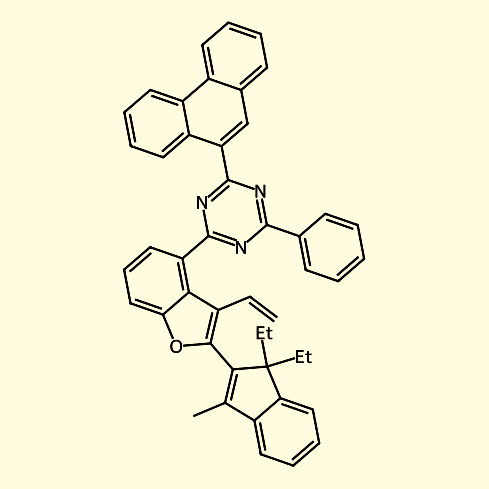 C=Cc1c(C2=C(C)c3ccccc3C2(CC)CC)oc2cccc(-c3nc(-c4ccccc4)nc(-c4cc5ccccc5c5ccccc45)n3)c12